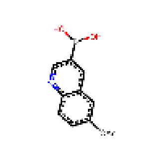 CC(=O)Oc1ccc2ncc(B(O)O)cc2c1